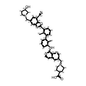 Cc1c(Nc2nccc3cc(CN4CCC(C(=O)O)CC4)cnc23)cccc1-c1cccc(-c2nc3cc(CN4CC[C@@H](O)C4)cc(C#N)c3o2)c1C